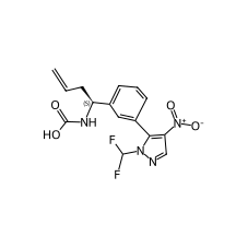 C=CC[C@H](NC(=O)O)c1cccc(-c2c([N+](=O)[O-])cnn2C(F)F)c1